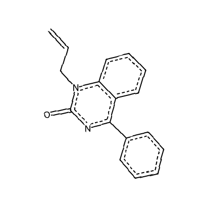 C=CCn1c(=O)nc(-c2ccccc2)c2ccccc21